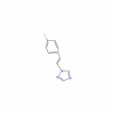 Fc1ccc(/C=C/n2cncn2)cc1